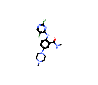 CNC(=O)c1cc(N2CCN(C)CC2)ccc1Nc1nc(Cl)ncc1Cl